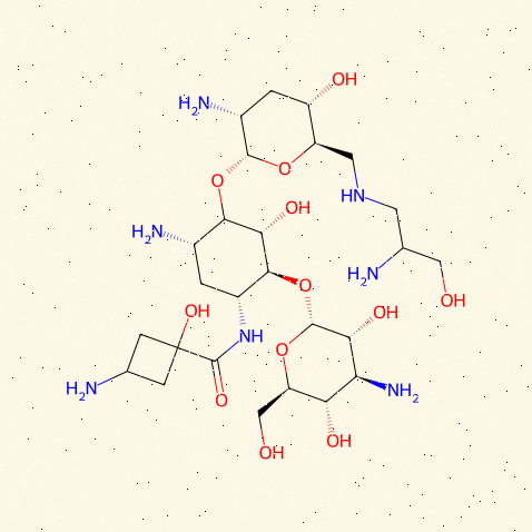 NC(CO)CNC[C@H]1O[C@H](OC2[C@@H](N)C[C@@H](NC(=O)C3(O)CC(N)C3)[C@H](O[C@H]3O[C@H](CO)[C@@H](O)[C@H](N)[C@H]3O)[C@H]2O)[C@H](N)C[C@@H]1O